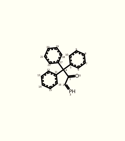 O=C(C=P)C(c1ccccc1)(c1ccccc1)c1ccccc1